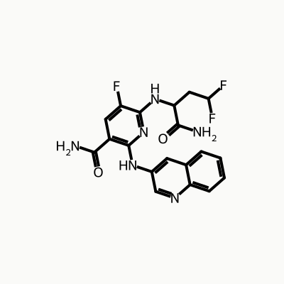 NC(=O)c1cc(F)c(NC(CC(F)F)C(N)=O)nc1Nc1cnc2ccccc2c1